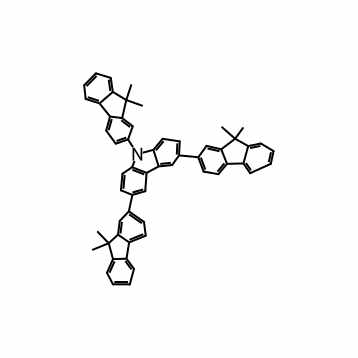 CC1(C)c2ccccc2-c2ccc(-c3ccc4c(c3)c3cc(-c5ccc6c(c5)C(C)(C)c5ccccc5-6)ccc3n4-c3ccc4c(c3)C(C)(C)c3ccccc3-4)cc21